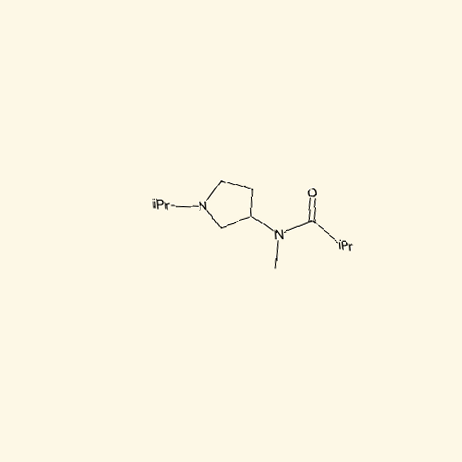 CC(C)C(=O)N(C)C1CCN(C(C)C)C1